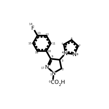 O=C(O)N1CC(n2cccn2)C(c2ccc(F)cc2)=N1